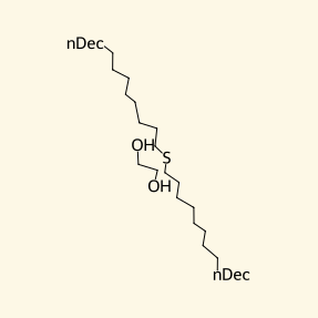 CCCCCCCCCCCCCCCCCCSCCCCCCCCCCCCCCCCCC.OCCO